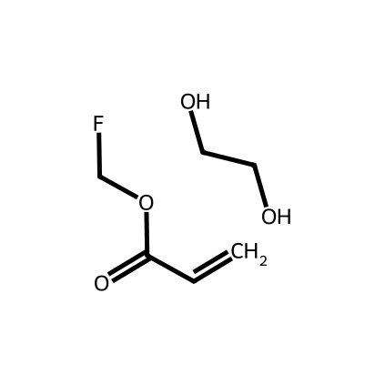 C=CC(=O)OCF.OCCO